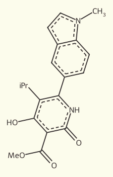 COC(=O)c1c(O)c(C(C)C)c(-c2ccc3c(ccn3C)c2)[nH]c1=O